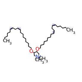 CCCCC/C=C\C/C=C\CCCCCCCCOC1C[N+](C)(C)CC1OCCCCCCCC/C=C\C/C=C\CCCCC